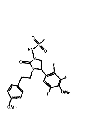 COc1ccc(CCN2C(=O)N(NS(C)(=O)=O)CC2c2cc(F)c(OC)c(F)c2F)cc1